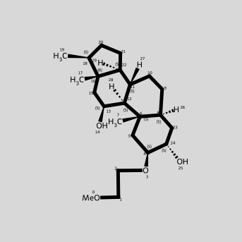 COCCO[C@H]1C[C@@]2(C)[C@@H](CC[C@@H]3[C@@H]2[C@@H](O)C[C@]2(C)[C@@H](C)CC[C@@H]32)C[C@@H]1O